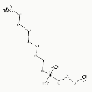 CCCCCCCCCCCCCCCCCC[N+](CC)(CC)CCCO